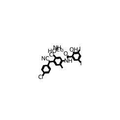 CCO.Cc1cc(C(C#N)c2ccc(Cl)cc2)c(Cl)cc1NC(=O)c1cc(I)cc(I)c1O.N